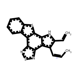 C=Cc1[nH]c2c3sc4ccccc4c3c3nsnc3c2c1/C=C\C